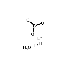 O.[Li+].[Li+].[Li+].[O-]B([O-])[O-]